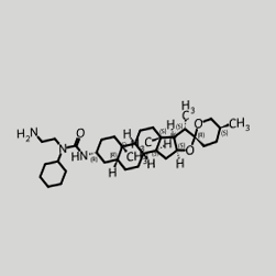 C[C@H]1CC[C@@]2(OC1)O[C@H]1C[C@H]3[C@@H]4CC[C@@H]5C[C@H](NC(=O)N(CCN)C6CCCCC6)CC[C@]5(C)[C@H]4CC[C@]3(C)[C@H]1[C@@H]2C